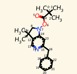 CC(C)(C)C(=O)ON1CC(C)(C)c2cnc(Cc3ccccc3)cc21